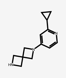 c1cc(N2CC3(CNC3)C2)cc(C2CC2)n1